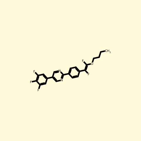 CCCCO/C(F)=C(\F)c1ccc(-c2ncc(-c3cc(F)c(F)c(F)c3)cn2)cc1